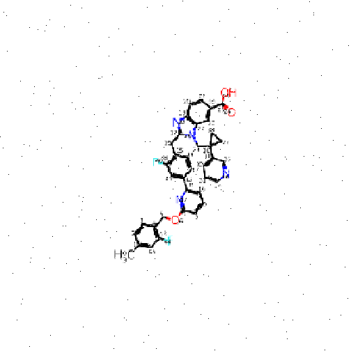 Cc1ccc(COc2cccc(-c3ccc(Cc4nc5ccc(C(=O)O)cc5n4CC4(c5cccnc5)CC4)c(F)c3)n2)c(F)c1